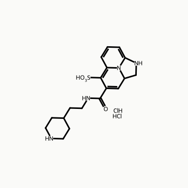 Cl.Cl.O=C(NCCC1CCNCC1)C1=CC2CNC3=CC=CC(=C1S(=O)(=O)O)N32